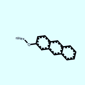 CCCCCCOc1[c]c2cc3ccccc3cc2cc1